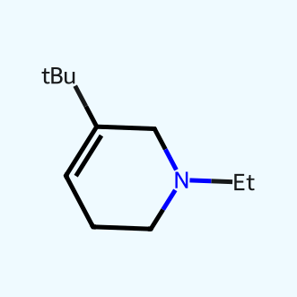 CCN1CCC=C(C(C)(C)C)C1